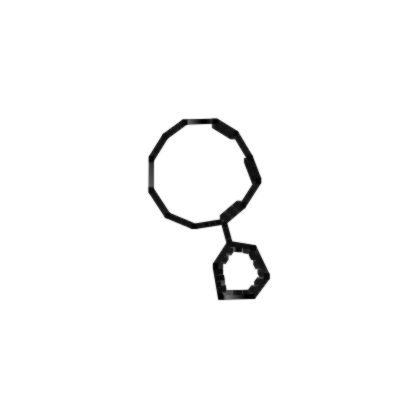 C1=CC=C(c2ccccc2)CCCCCCC=C1